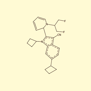 N#Cc1c(C2C=CC=CN2C(CF)CF)n(C2CCC2)c2cc(C3CCC3)ccc12